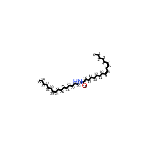 CCCCC/C=C\C/C=C\CCCCCCCC(=O)NCCCCCCCC/C=C\CCCCCC